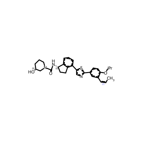 C/C=C\c1cc(-c2ncc(-c3cccc4c3CC[C@@H]4NC(=O)N3CCC[C@H](O)C3)s2)ccc1OC(C)C